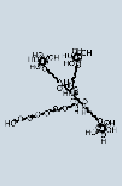 O=C(CCC(NC(=O)CCC(NC(=O)CCOCCOCCOCCOCCOCCOCCO)C(=O)NCCCCCCO[C@H]1O[C@H](CO)[C@@H](O)[C@H](O)[C@@H]1O)C(=O)NCCCCCCO[C@H]1O[C@H](CO)[C@@H](O)[C@H](O)[C@@H]1O)NCCCCCCO[C@H]1O[C@H](CO)[C@@H](O)[C@H](O)[C@@H]1O